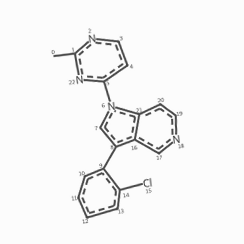 Cc1nccc(-n2cc(-c3ccccc3Cl)c3cnccc32)n1